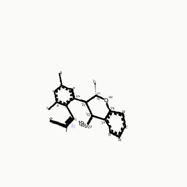 C/C=C\c1c(C)cc(C)cc1C1C(C(C)(C)C)c2ccccc2O[C@H]1C